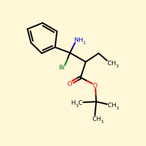 CCC(C(=O)OC(C)(C)C)C(N)(Br)c1ccccc1